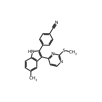 CSc1nccc(-c2c(-c3ccc(C#N)cc3)[nH]c3ccc(C)cc23)n1